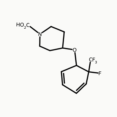 O=C(O)N1CCC(OC2C=CC=CC2(F)C(F)(F)F)CC1